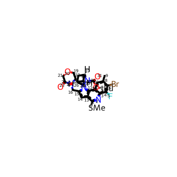 CSc1nc2c(F)c(Br)c(C)cc2c2c1cc(CN1CCOCC1=O)n2[C@H]1[C@@H]2C[C@H]1N(C(=O)OC(C)(C)C)C2